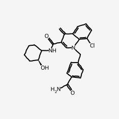 C=C1C(C(=O)NC2CCCC[C@@H]2O)=CN(Cc2ccc(C(N)=O)cc2)c2c(Cl)cccc21